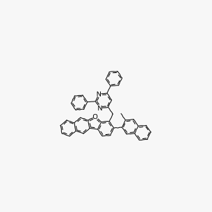 Cc1cc2ccccc2cc1-c1ccc2c(oc3cc4ccccc4cc32)c1Cc1cc(-c2ccccc2)nc(-c2ccccc2)n1